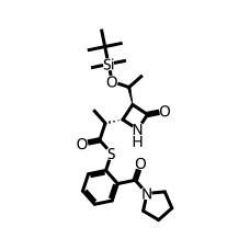 CC(C(=O)Sc1ccccc1C(=O)N1CCCC1)[C@H]1NC(=O)[C@@H]1C(C)O[Si](C)(C)C(C)(C)C